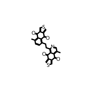 Cc1ccc(CCc2ncc(C)c3c2C(=O)c2cscc2C3=O)c2c1C(=O)c1cscc1C2=O